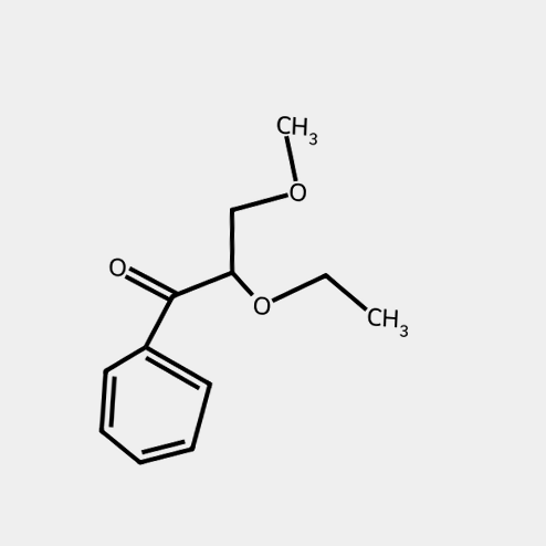 CCOC(COC)C(=O)c1ccccc1